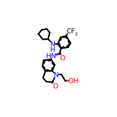 O=C(Nc1ccc2c(c1)N(CCO)C(=O)CC2)c1ccc(C(F)(F)F)cc1NC1CCCCC1